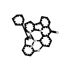 O=c1c2ccc3c4c2n2c5c1cccc5c1ccc[n+](c12)[N+]41n2nc(-c4ccccc4)cc2-c2cccc([n+]21)O3